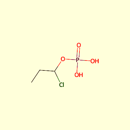 CCC(Cl)OP(=O)(O)O